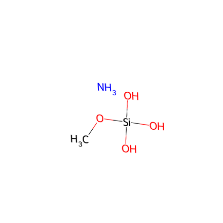 CO[Si](O)(O)O.N